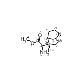 COC(=O)C(N)[C@H]1CCN2CCC1CC2